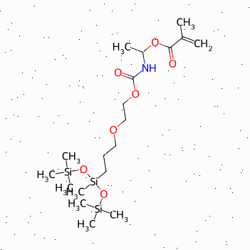 C=C(C)C(=O)OC(C)NC(=O)OCCOCCC[Si](C)(O[Si](C)(C)C)O[Si](C)(C)C